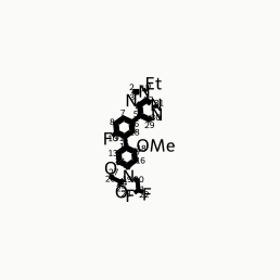 CCn1cnc2c(-c3ccc(F)c(-c4cc5c(cc4OC)N(CC(F)F)C(=O)CO5)c3)cnnc21